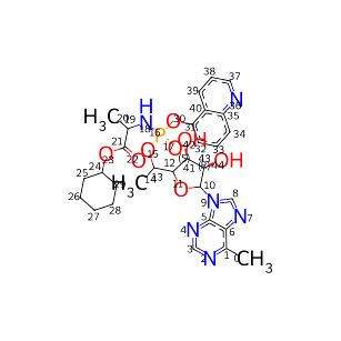 Cc1ncnc2c1ncn2C1OC(C(C)OP(=O)(NC(C)C(=O)OC2CCCCC2)Oc2cccc3ncccc23)[C@@H](O)[C@H]1O